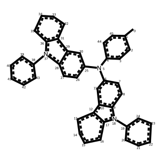 Cc1ccc(N(c2ccc3c(c2)c2ccccc2n3-c2ccccc2)c2ccc3c(c2)c2ccccc2n3-c2ccccc2)cc1